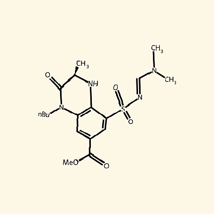 CCCCN1C(=O)[C@@H](C)Nc2c1cc(C(=O)OC)cc2S(=O)(=O)N=CN(C)C